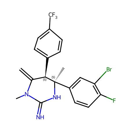 C=C1[C@@H](c2ccc(C(F)(F)F)cc2)[C@@](C)(c2ccc(F)c(Br)c2)NC(=N)N1C